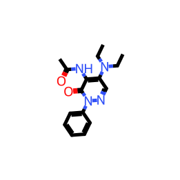 CCN(CC)c1cnn(-c2ccccc2)c(=O)c1NC(C)=O